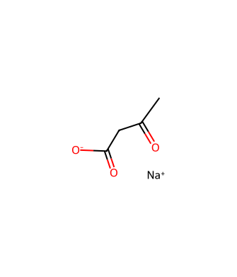 CC(=O)CC(=O)[O-].[Na+]